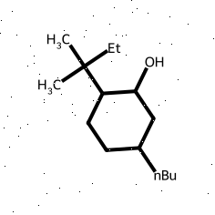 CCCCC1CCC(C(C)(C)CC)C(O)C1